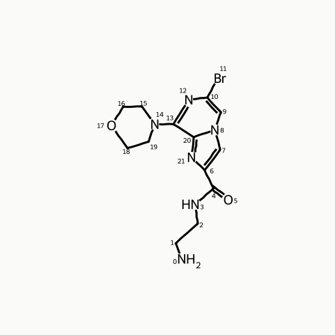 NCCNC(=O)c1cn2cc(Br)nc(N3CCOCC3)c2n1